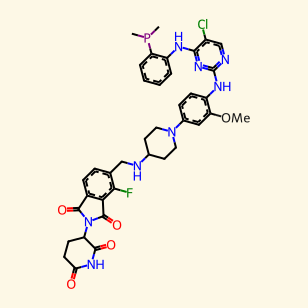 COc1cc(N2CCC(NCc3ccc4c(c3F)C(=O)N(C3CCC(=O)NC3=O)C4=O)CC2)ccc1Nc1ncc(Cl)c(Nc2ccccc2P(C)C)n1